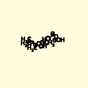 CC(C)CCCC(C)[C@H]1CC[C@H]2[C@@H]3CCC4C[C@@H](C5OC5OC(=O)O)CC[C@]4(C)[C@H]3CC[C@]12C